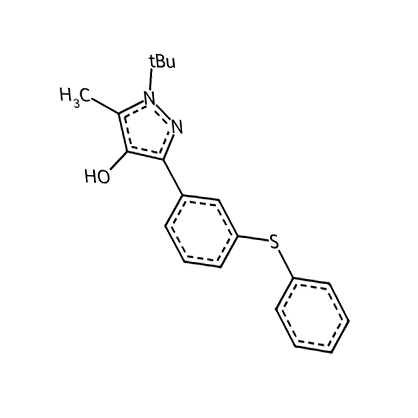 Cc1c(O)c(-c2cccc(Sc3ccccc3)c2)nn1C(C)(C)C